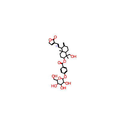 C=C1CCC2C(C)(CO)C(OC(=O)c3ccc(OC4OC(CO)C(O)C(O)C4O)cc3)CCC2(C)C1/C=C/C1=CCOC1=O